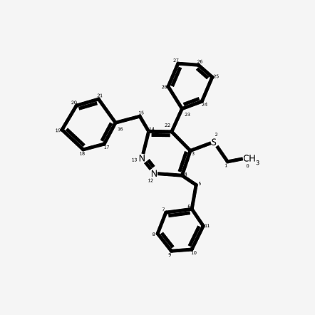 CCSc1c(Cc2ccccc2)nnc(Cc2ccccc2)c1-c1ccccc1